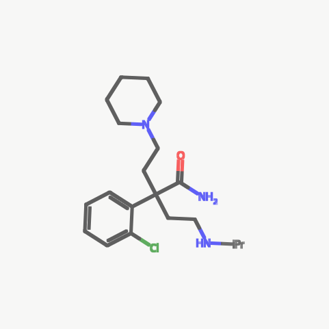 CC(C)NCCC(CCN1CCCCC1)(C(N)=O)c1ccccc1Cl